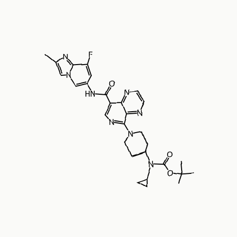 Cc1cn2cc(NC(=O)c3cnc(N4CCC(N(C(=O)OC(C)(C)C)C5CC5)CC4)c4nccnc34)cc(F)c2n1